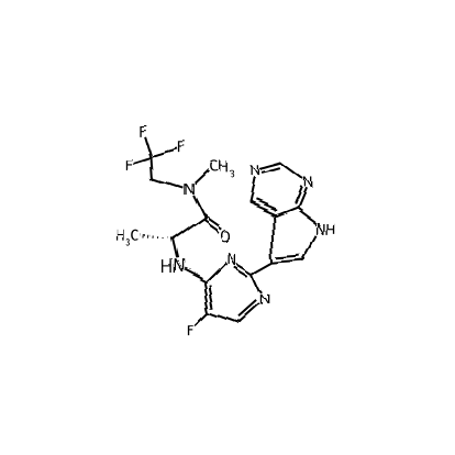 C[C@@H](Nc1nc(-c2c[nH]c3ncncc23)ncc1F)C(=O)N(C)CC(F)(F)F